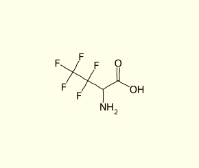 NC(C(=O)O)C(F)(F)C(F)(F)F